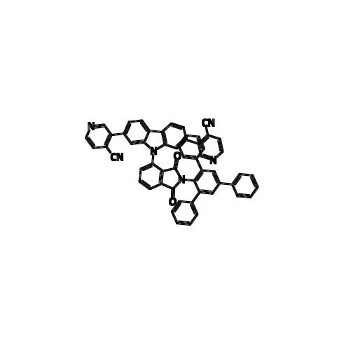 N#Cc1ccncc1-c1ccc2c3ccc(-c4cnccc4C#N)cc3n(-c3cccc4c3C(=O)N(c3c(-c5ccccc5)cc(-c5ccccc5)cc3-c3ccccc3)C4=O)c2c1